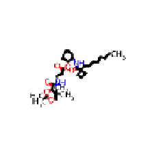 CCCCCCCCC1(C(=O)NC2CCCCC2OC(=O)CCNC(=O)C2OC(C)(C)OCC2(C)C)CCC1